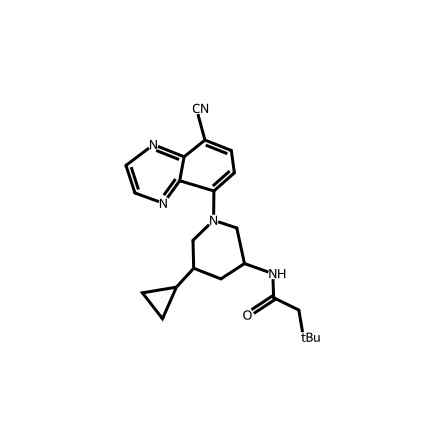 CC(C)(C)CC(=O)NC1CC(C2CC2)CN(c2ccc(C#N)c3nccnc23)C1